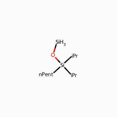 CCCCC[Si](O[SiH3])(C(C)C)C(C)C